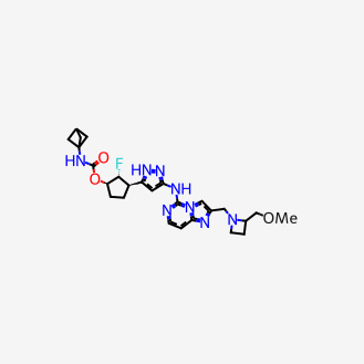 COCC1CCN1Cc1cn2c(Nc3cc([C@H]4CC[C@@H](OC(=O)NC56CC(C5)C6)[C@@H]4F)[nH]n3)nccc2n1